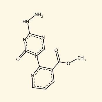 COC(=O)c1cccnc1-n1cnc(NN)nc1=O